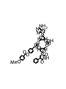 COc1ccc(C(=O)Oc2ccc(CSP3(=O)OC[C@H]4O[C@@H](n5cnc6c(N)ncnc65)C[C@@H]4OP(=O)(O)OC[C@H]4O[C@@H](n5cc(-c6ccccc6)c(=O)[nH]c5=O)C[C@@H]4O3)cc2)cc1